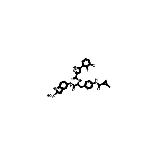 CC1CC1C(=O)Nc1ccc(CC(NC(=O)c2cc(-c3cccc(Cl)c3F)[nH]n2)C(=O)Nc2ccc3[nH]c(C(=O)O)cc3c2)cc1